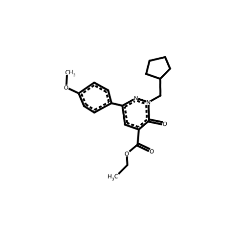 CCOC(=O)c1cc(-c2ccc(OC)cc2)nn(CC2CCCC2)c1=O